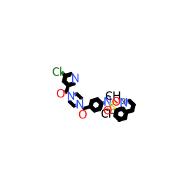 Cc1cc(C(=O)N2CCN(C(=O)c3cncc(Cl)c3)CC2)ccc1N(C)S(=O)(=O)c1cccc2cccnc12